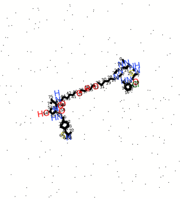 Cc1nc(Nc2ncc(C(=O)Nc3c(C)cccc3Cl)s2)cc(N2CCN(CCCCCCOCCOCCOCCCCCC(=O)N[C@H](C(=O)N3C[C@H](O)C[C@H]3C(=O)NCc3ccc(-c4scnc4C)cc3)C(C)C)CC2)n1